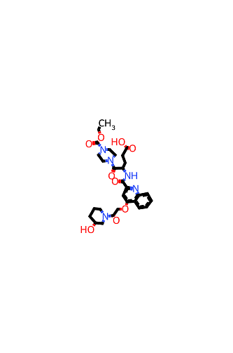 CCOC(=O)N1CCN(C(=O)C(CCC(=O)O)NC(=O)c2cc(OCC(=O)N3CCCC(O)C3)c3ccccc3n2)CC1